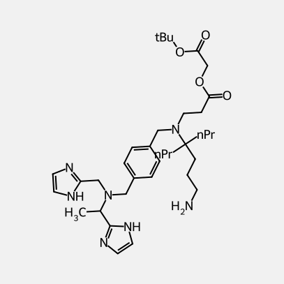 CCCC(CCC)(CCCN)N(CCC(=O)OCC(=O)OC(C)(C)C)Cc1ccc(CN(Cc2ncc[nH]2)C(C)c2ncc[nH]2)cc1